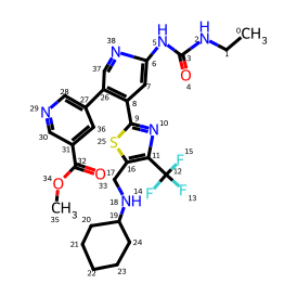 CCNC(=O)Nc1cc(-c2nc(C(F)(F)F)c(CNC3CCCCC3)s2)c(-c2cncc(C(=O)OC)c2)cn1